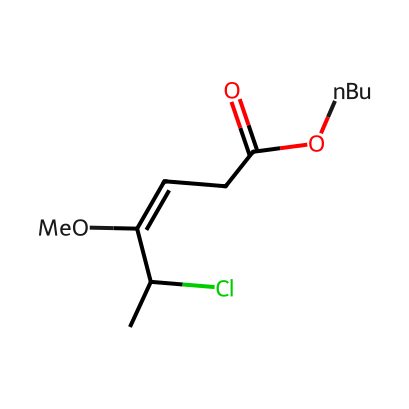 CCCCOC(=O)CC=C(OC)C(C)Cl